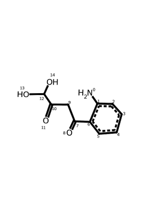 Nc1ccccc1C(=O)CC(=O)C(O)O